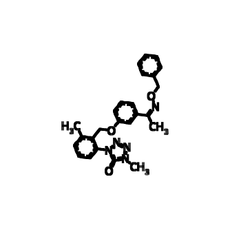 CC(=NOCc1ccccc1)c1cccc(OCc2c(C)cccc2-n2nnn(C)c2=O)c1